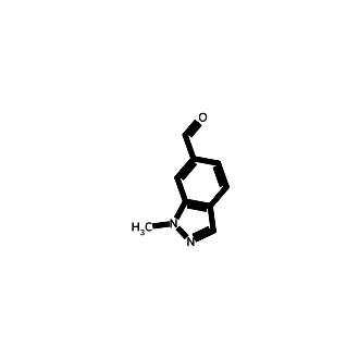 Cn1ncc2ccc(C=O)cc21